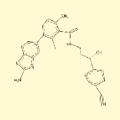 C#Cc1ccc([C@@H](O)CCNC(=O)c2c(C)ccc(-c3ccn4nc(N)nc4c3)c2F)cc1